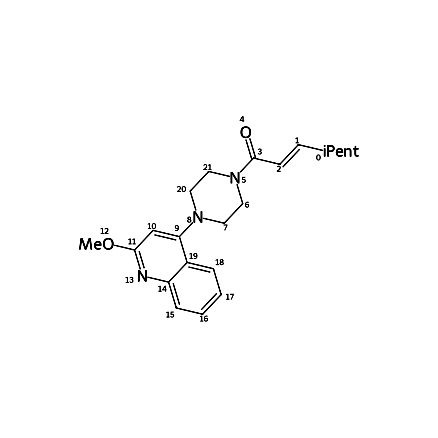 CCCC(C)C=CC(=O)N1CCN(c2cc(OC)nc3ccccc23)CC1